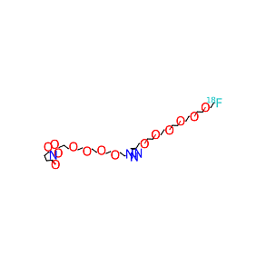 O=C(CCOCCOCCOCCOCCn1cc(COCCOCCOCCOCCOCCOCC[18F])nn1)ON1C(=O)CCC1=O